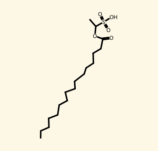 CCCCCCCCCCCCCCCC(=O)OC(C)S(=O)(=O)O